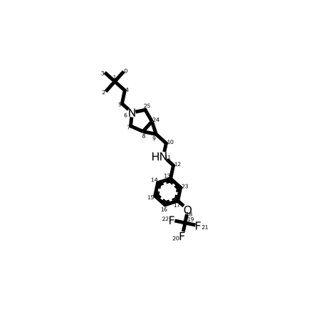 CC(C)(C)CCN1CC2C(CNCc3cccc(OC(F)(F)F)c3)C2C1